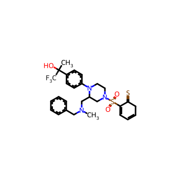 CN(Cc1ccccc1)CC1CN(S(=O)(=O)C2=CC=CCC2=S)CCN1c1ccc(C(C)(O)C(F)(F)F)cc1